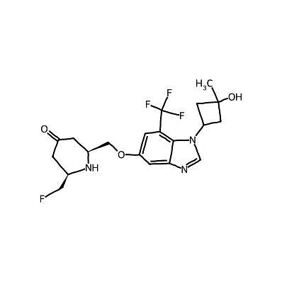 CC1(O)CC(n2cnc3cc(OC[C@@H]4CC(=O)C[C@H](CF)N4)cc(C(F)(F)F)c32)C1